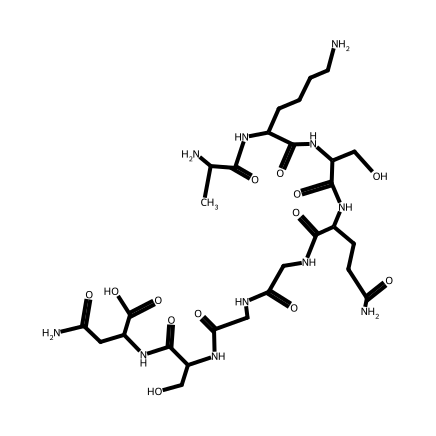 CC(N)C(=O)NC(CCCCN)C(=O)NC(CO)C(=O)NC(CCC(N)=O)C(=O)NCC(=O)NCC(=O)NC(CO)C(=O)NC(CC(N)=O)C(=O)O